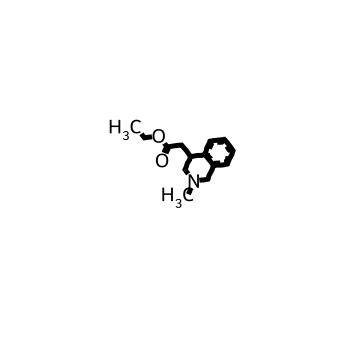 CCOC(=O)CC1CN(C)Cc2ccccc21